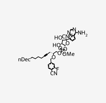 CCCCCCCCCCCCCCC#CC[C@H](COP(=O)(OC)O[C@H]1O[C@@](C#N)(c2ccc3c(N)ncnn23)[C@H](O)[C@@H]1O)OCc1ccc(C#N)c(F)c1